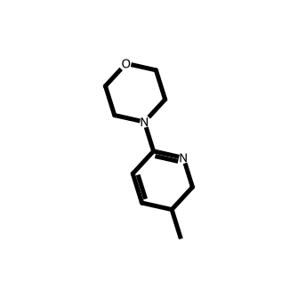 CC1C=CC(N2CCOCC2)=NC1